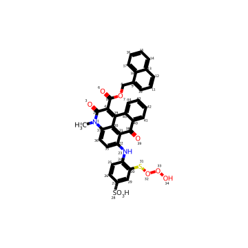 Cn1c(=O)c(C(=O)OCc2cccc3ccccc23)c2c3c(c(Nc4ccc(S(=O)(=O)O)cc4SOOO)ccc31)C(=O)c1ccccc1-2